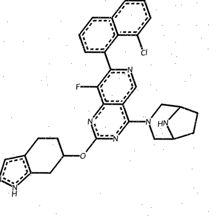 Fc1c(-c2cccc3cccc(Cl)c23)ncc2c(N3CC4CCC(C3)N4)nc(OC3CCc4cn[nH]c4C3)nc12